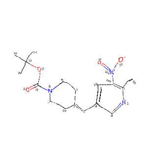 Cc1ncc(C=C2CCN(C(=O)OC(C)(C)C)CC2)cc1[N+](=O)[O-]